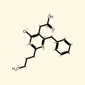 CCCCc1nc(Cl)c(CC(=O)O)c(Cc2ccccc2)n1